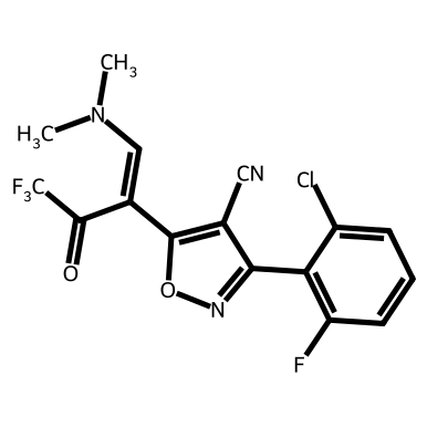 CN(C)C=C(C(=O)C(F)(F)F)c1onc(-c2c(F)cccc2Cl)c1C#N